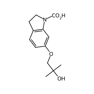 CC(C)(O)COc1ccc2c(c1)N(C(=O)O)CC2